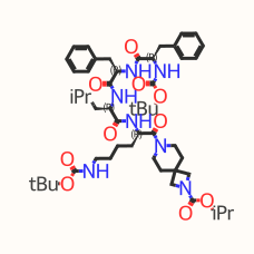 CC(C)C[C@@H](NC(=O)[C@@H](Cc1ccccc1)NC(=O)[C@@H](Cc1ccccc1)NC(=O)OC(C)(C)C)C(=O)N[C@H](CCCCNC(=O)OC(C)(C)C)C(=O)N1CCC2(CC1)CN(C(=O)OC(C)C)C2